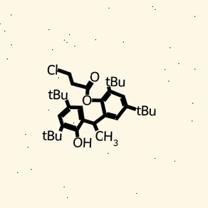 CC(c1cc(C(C)(C)C)cc(C(C)(C)C)c1O)c1cc(C(C)(C)C)cc(C(C)(C)C)c1OC(=O)CCCl